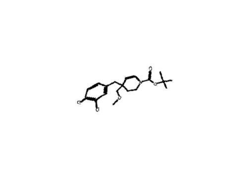 COCC1(Cc2ccc(Cl)c(Cl)c2)CCN(C(=O)OC(C)(C)C)CC1